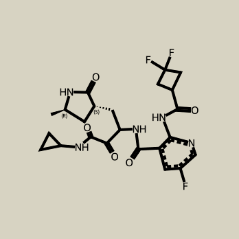 C[C@@H]1C[C@@H](CC(NC(=O)c2cc(F)cnc2NC(=O)C2CC(F)(F)C2)C(=O)C(=O)NC2CC2)C(=O)N1